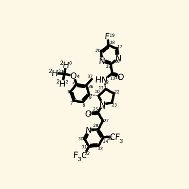 [2H]C([2H])([2H])Oc1cccc([C@@H]2[C@H](NC(=O)c3ncc(F)cn3)CCN2C(=O)Cc2ncc(C(F)(F)F)cc2C(F)(F)F)c1C